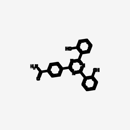 NC(=O)c1ccc(-c2nc(-c3ccccc3O)nc(-c3ccccc3O)n2)cc1